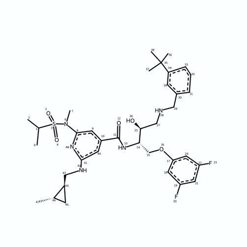 CC(C)S(=O)(=O)N(C)c1cc(C(=O)N[C@@H](COc2cc(F)cc(F)c2)[C@@H](O)CNCc2cccc(C(C)(C)C)c2)cc(NC[C@H]2C[C@@H]2C)n1